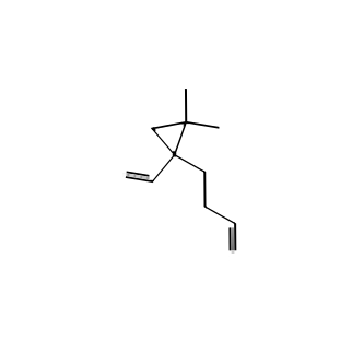 CC1(C)CC1(C=O)CCC=O